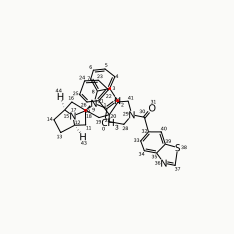 Cc1nc2ccccc2n1[C@H]1C[C@H]2CC[C@@H](C1)N2CCC1(c2ccccc2)CCN(C(=O)c2ccc3ncsc3c2)CC1